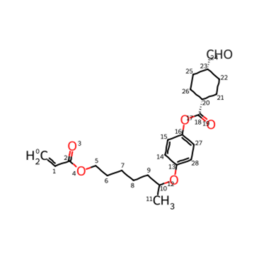 C=CC(=O)OCCCCCC(C)Oc1ccc(OC(=O)[C@H]2CC[C@@H](C=O)CC2)cc1